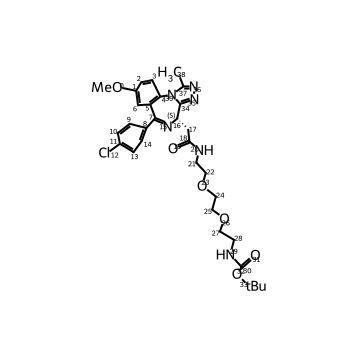 COc1ccc2c(c1)C(c1ccc(Cl)cc1)=N[C@@H](CC(=O)NCCOCCOCCNC(=O)OC(C)(C)C)c1nnc(C)n1-2